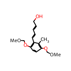 COCOc1ccc(OCOC)c(C=CC=CCO)c1C